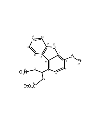 CCOC(=O)CC(C[N+](=O)[O-])c1ccc(OCC)c2oc3cnccc3c12